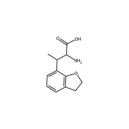 CC(c1cccc2c1OCC2)C(N)C(=O)O